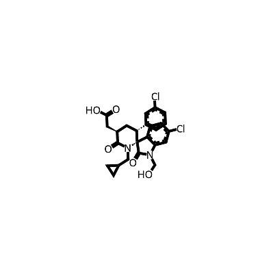 O=C(O)C[C@H]1C[C@H](c2cccc(Cl)c2)[C@@]2(C(=O)N(CO)c3cc(Cl)ccc32)N(CC2CC2)C1=O